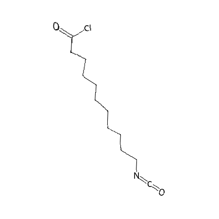 O=C=NCCCCCCCCCCC(=O)Cl